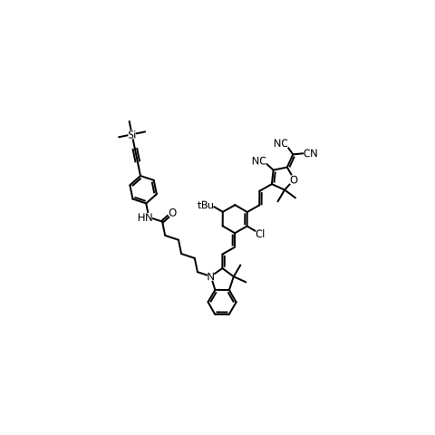 CC1(C)OC(=C(C#N)C#N)C(C#N)=C1/C=C/C1=C(Cl)C(=C/C=C2/N(CCCCCC(=O)Nc3ccc(C#C[Si](C)(C)C)cc3)c3ccccc3C2(C)C)/CC(C(C)(C)C)C1